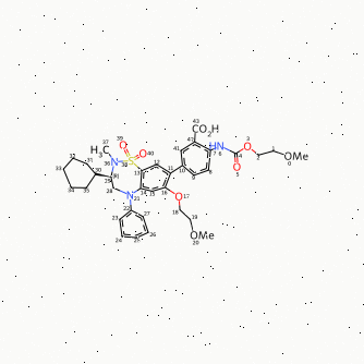 COCCOC(=O)Nc1ccc(-c2cc3c(cc2OCCOC)N(c2ccccc2)C[C@@H](C2CCCCC2)N(C)S3(=O)=O)cc1C(=O)O